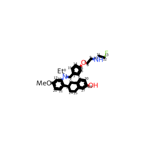 CCN(Cc1ccc(OCCNCCF)cc1)c1cc(OC)ccc1C1CCc2cc(O)ccc2C1